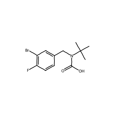 CC(C)(C)N(Cc1ccc(F)c(Br)c1)C(=O)O